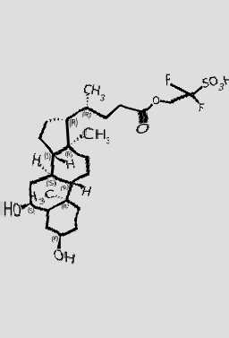 C[C@H](CCC(=O)OCC(F)(F)S(=O)(=O)O)[C@H]1CC[C@H]2[C@@H]3C[C@H](O)C4C[C@H](O)CC[C@]4(C)[C@H]3CC[C@]12C